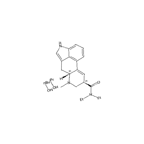 CC(C)O.CCCCO.CCN(CC)C(=O)[C@@H]1C=C2c3cccc4[nH]cc(c34)C[C@H]2N(C)C1